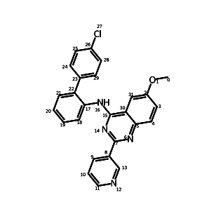 COc1ccc2nc(-c3cccnc3)nc(Nc3ccccc3-c3ccc(Cl)cc3)c2c1